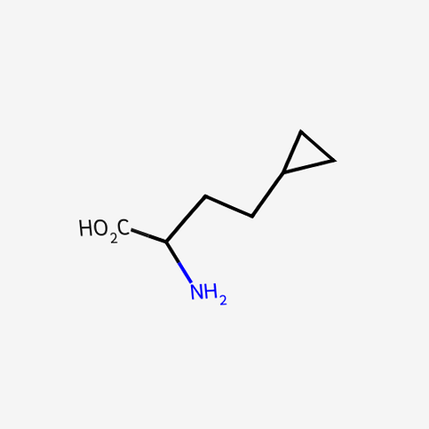 NC(CCC1CC1)C(=O)O